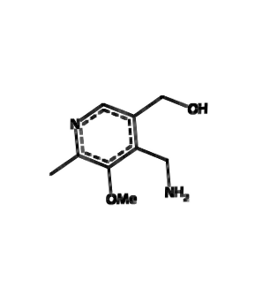 COc1c(C)ncc(CO)c1CN